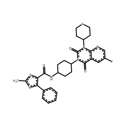 Cc1nc(-c2ccccc2)c(C(=O)NC2CCC(n3c(=O)c4cc(F)cnc4n(C4CCSCC4)c3=O)CC2)s1